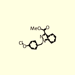 COC(=O)c1nn(Cc2ccc(OCl)cc2)c2ccccc12